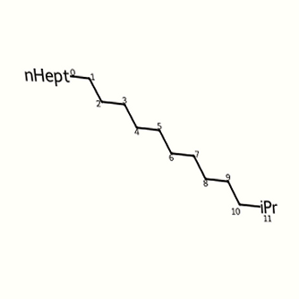 [CH2]CCCCCCCCCCCCCCCCC(C)C